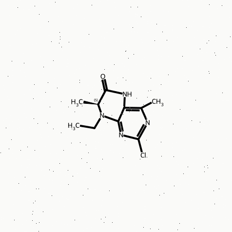 CCN1c2nc(Cl)nc(C)c2NC(=O)[C@@H]1C